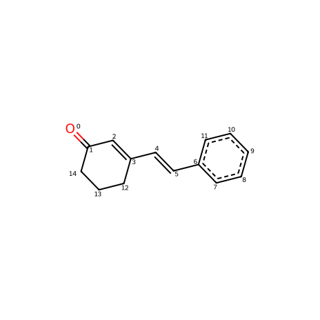 O=C1C=C(C=Cc2ccccc2)CCC1